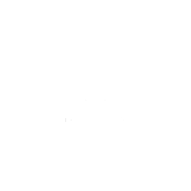 OCC1C2CC(C3CCC=C23)C1CO